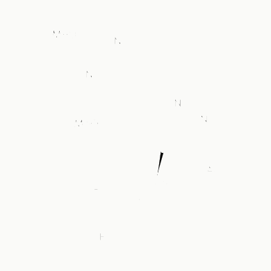 COc1ncc(-c2cc([C@H]3C[C@@H]3C(F)F)c(C(C)=O)nn2)c(OC)n1